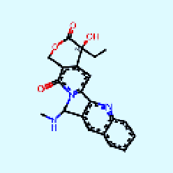 CC[C@@]1(O)C(=O)OCc2c1cc1n(c2=O)C(NC)c2cc3ccccc3nc2-1